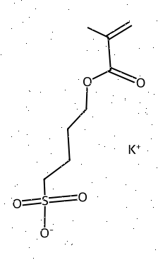 C=C(C)C(=O)OCCCCS(=O)(=O)[O-].[K+]